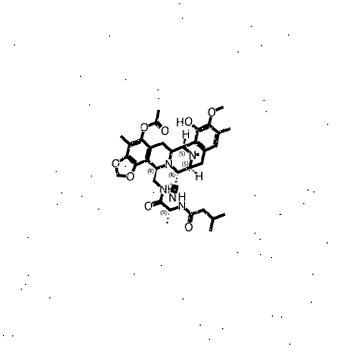 COc1c(C)cc2c(c1O)[C@H]1C3Cc4c(OC(C)=O)c(C)c5c(c4[C@H](CNC(=O)[C@@H](C)NC(=O)CC(C)C)N3[C@@H](C#N)[C@H](C2)N1C)OCO5